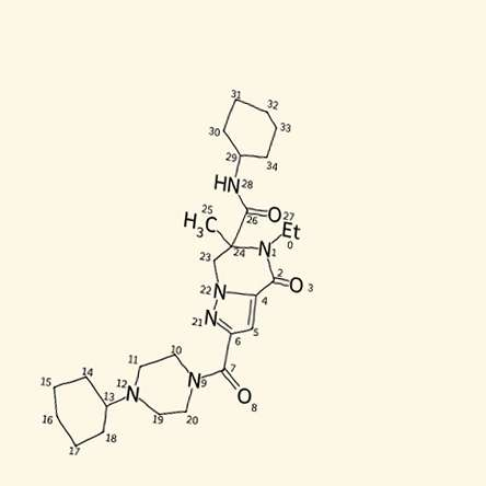 CCN1C(=O)c2cc(C(=O)N3CCN(C4CCCCC4)CC3)nn2CC1(C)C(=O)NC1CCCCC1